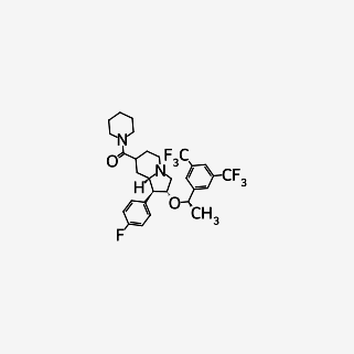 C[C@@H](O[C@H]1CN2CCC(C(=O)N3CCCCC3)C[C@H]2[C@@H]1c1ccc(F)cc1)c1cc(C(F)(F)F)cc(C(F)(F)F)c1